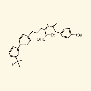 CCN(C=O)/C(CCCc1ccc(-c2cccc(C(C)(F)F)c2)cc1)=N\N(C)Cc1ccc(C(C)(C)C)cc1